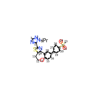 CC(C)n1ncnc1-c1nc2c(s1)CCOc1ccc(-c3ccc(S(C)(=O)=O)cc3)cc1-2